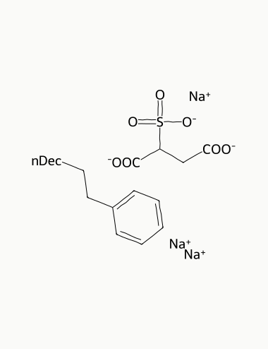 CCCCCCCCCCCCc1ccccc1.O=C([O-])CC(C(=O)[O-])S(=O)(=O)[O-].[Na+].[Na+].[Na+]